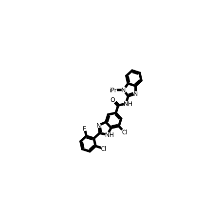 CC(C)n1c(NC(=O)c2cc(Cl)c3[nH]c(-c4c(F)cccc4Cl)nc3c2)nc2ccccc21